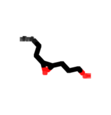 CCCCCCCC1OC1CCCO